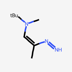 C/C(=C/N(C)C(C)(C)C)N=N